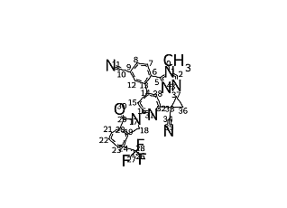 Cn1cnnc1-c1ccc(C#N)cc1-c1cc(N2Cc3c(cccc3C(F)(F)F)C2=O)nc(C2(C#N)CC2)c1